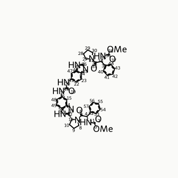 COC(=O)N[C@@H](C(=O)N1CCC[C@H]1c1nc2cc(NC(=O)Nc3ccc4nc([C@@H]5CCCN5C(=O)[C@H](NC(=O)OC)c5ccccc5)[nH]c4c3)ccc2[nH]1)c1ccccc1